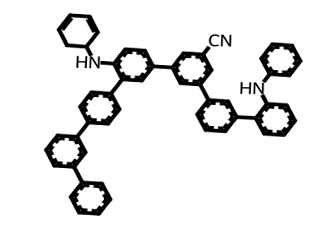 N#Cc1cc(-c2cccc(-c3ccccc3Nc3ccccc3)c2)cc(-c2ccc(NC3C=CC=CC3)c(-c3ccc(-c4cccc(-c5ccccc5)c4)cc3)c2)c1